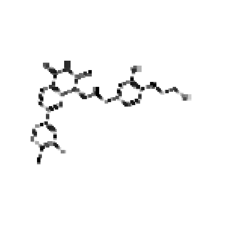 CCCOc1ccc(CNC=C2C(=O)NC(=O)c3ccc(-c4ccc(F)c(F)c4)cc32)cc1O